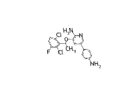 CC(Oc1cc(-c2ccc(N)cc2)cnc1N)c1c(Cl)ccc(F)c1Cl